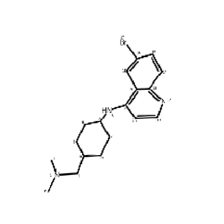 CN(C)CC1CCC(Nc2[c]cnc3ccc(Br)cc23)CC1